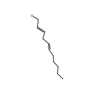 CCCCC/C=C/C/C=C/C[O]